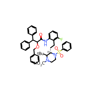 CC(C)(C)C1[C@H](CCc2c(F)cccc2NC(=O)C(OCc2ccccc2)C(c2ccccc2)c2ccccc2)N(S(=O)(=O)c2ccccc2)CCN1C(=O)O